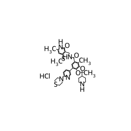 CSc1cc(C)[nH]c(=O)c1CNC(=O)c1cc(-c2ccc(N3CCSCC3)nc2)c2c(c1C)OC(C)(C1CCNCC1)O2.Cl